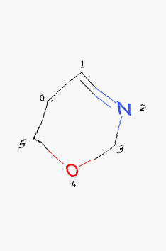 [CH]1C=NCOC1